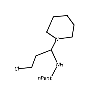 CCCCCNC(CCCl)N1CCCCC1